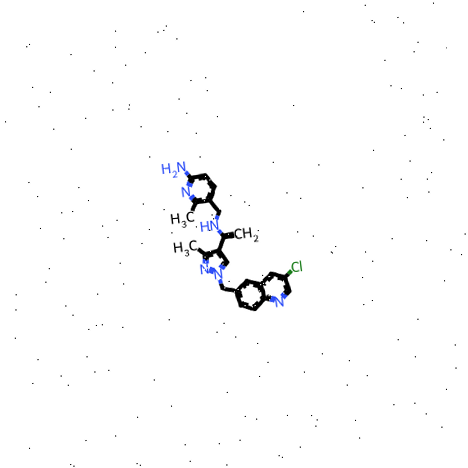 C=C(NCc1ccc(N)nc1C)c1cn(Cc2ccc3ncc(Cl)cc3c2)nc1C